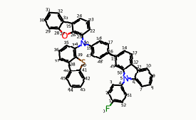 Fc1ccc(-n2c3ccccc3c3ccc(-c4ccc(N(c5cccc6c5oc5ccccc56)c5cccc6c5sc5ccccc56)cc4)cc32)cc1